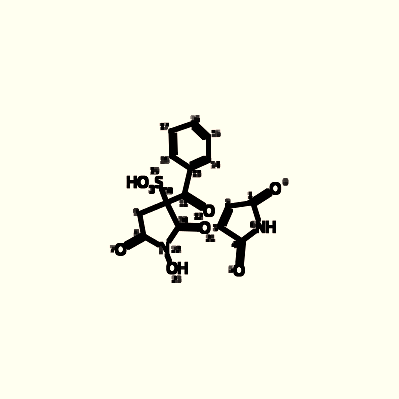 O=C1C=CC(=O)N1.O=C1CC(C(=O)c2ccccc2)(S(=O)(=O)O)C(=O)N1O